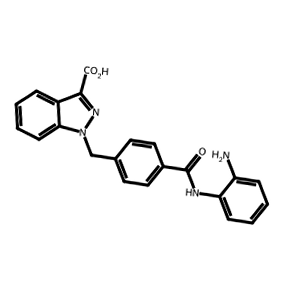 Nc1ccccc1NC(=O)c1ccc(Cn2nc(C(=O)O)c3ccccc32)cc1